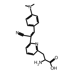 CN(C)c1ccc(C=C(C#N)c2cccc(CC(N)C(=O)O)n2)cc1